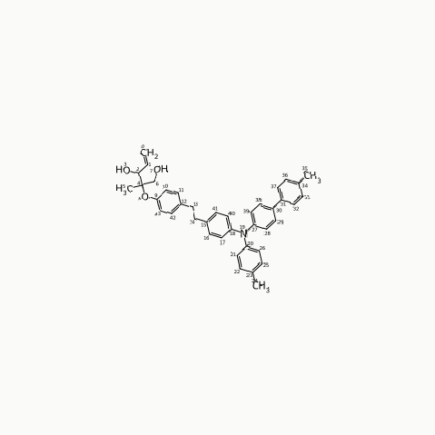 C=CC(O)C(C)(CO)Oc1ccc(CCc2ccc(N(c3ccc(C)cc3)c3ccc(-c4ccc(C)cc4)cc3)cc2)cc1